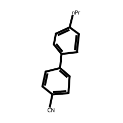 CCCc1c[c]c(-c2ccc(C#N)cc2)cc1